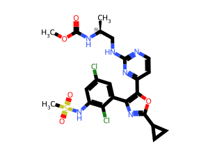 COC(=O)N[C@@H](C)CNc1nccc(-c2oc(C3CC3)nc2-c2cc(Cl)cc(NS(C)(=O)=O)c2Cl)n1